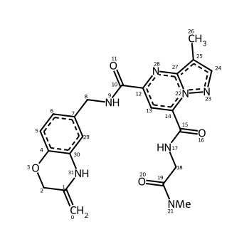 C=C1COc2ccc(CNC(=O)c3cc(C(=O)NCC(=O)NC)n4ncc(C)c4n3)cc2N1